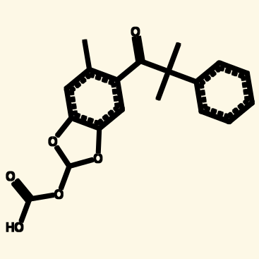 Cc1cc2c(cc1C(=O)C(C)(C)c1ccccc1)OC(OC(=O)O)O2